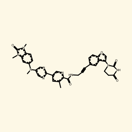 Cc1cc(-c2ncc(N(C)c3ccc4c(c3)n(C)c(=O)n4C)cn2)cnc1C(=O)NCC#Cc1ccc2occ(N3CCC(=O)NC3=O)c2c1